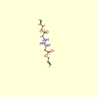 C=CCOC(=O)CNNNCC(=O)OCC=C